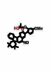 COc1ccc(-c2cc3c(N=O)cc4c(c3cc2OC(C)O)-c2ccccc2C42CC(C)(C)CC(C)(C)C2)c(OC)c1